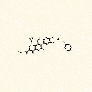 CCOC(=O)c1cn(C2CC2)c2c(CF)c(-c3ccc4c(c3)CN(C(=O)OCc3ccccc3)C4)c(F)cc2c1=O